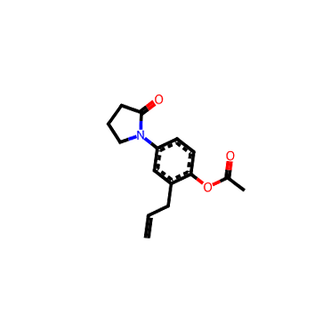 C=CCc1cc(N2CCCC2=O)ccc1OC(C)=O